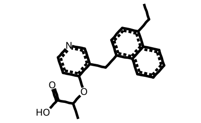 CCc1ccc(Cc2cnccc2OC(C)C(=O)O)c2ccccc12